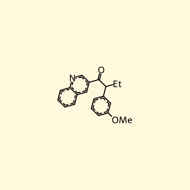 CCC(C(=O)c1cnc2ccccc2c1)c1cccc(OC)c1